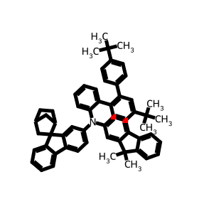 CC(C)(C)c1ccc(-c2cc(C(C)(C)C)ccc2-c2ccccc2N(c2ccc3c(c2)C(C)(C)c2ccccc2-3)c2ccc3c(c2)C2(CC4CCC2C4)c2ccccc2-3)cc1